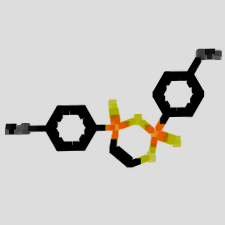 COc1ccc(P2(=S)C=CSP(=S)(c3ccc(OC)cc3)S2)cc1